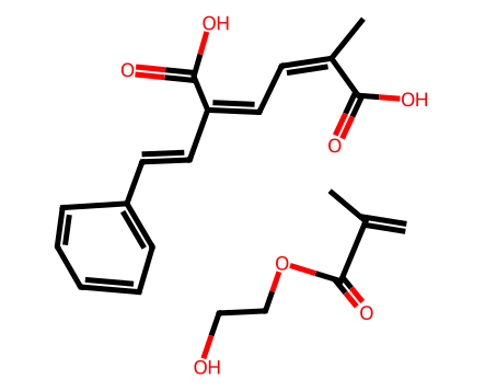 C=C(C)C(=O)OCCO.CC(=CC=C(C=Cc1ccccc1)C(=O)O)C(=O)O